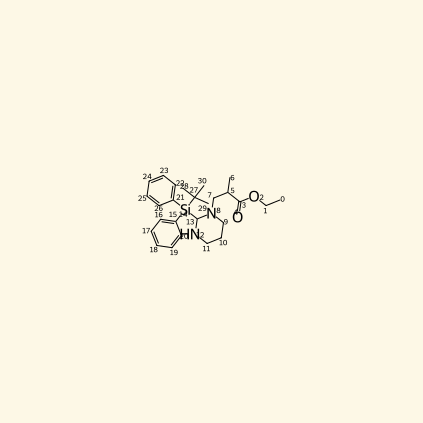 CCOC(=O)C(C)CN1CCCNC1[Si](c1ccccc1)(c1ccccc1)C(C)(C)C